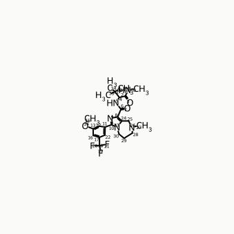 CNC(=O)C(NC(=O)c1nc(-c2cc(OC)cc(C(F)(F)F)c2)n2c1CN(C)CCC2)C(C)(C)C